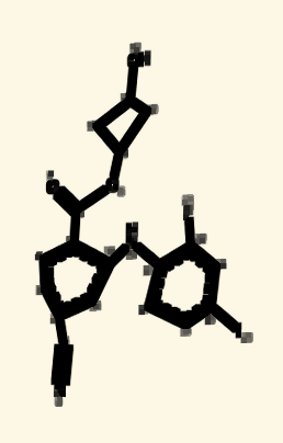 N#Cc1ccc(C(=O)OC2CC(O)C2)c(Nc2ccc(I)cc2F)c1